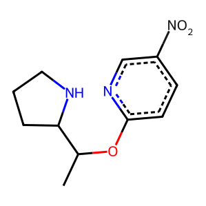 CC(Oc1ccc([N+](=O)[O-])cn1)C1CCCN1